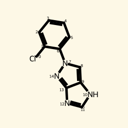 Clc1ccccc1-n1cc2[nH][c]nc2n1